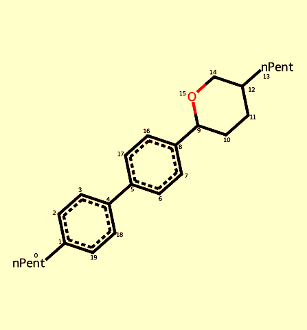 CCCCCc1ccc(-c2ccc(C3CCC(CCCCC)CO3)cc2)cc1